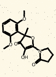 COc1cccc(OC)c1C1(C)OC(N2CCCC2=O)=C(O)C1=O